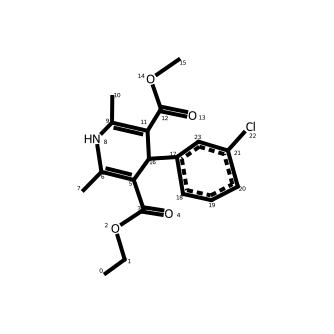 CCOC(=O)C1=C(C)NC(C)=C(C(=O)OC)C1c1cccc(Cl)c1